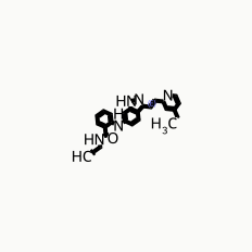 C#CCNC(=O)c1ccccc1Nc1ccc2c(/C=C/c3cc(CC)ccn3)n[nH]c2c1